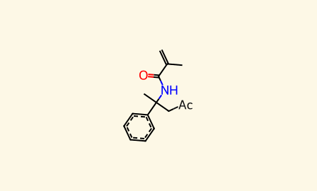 C=C(C)C(=O)NC(C)(CC(C)=O)c1ccccc1